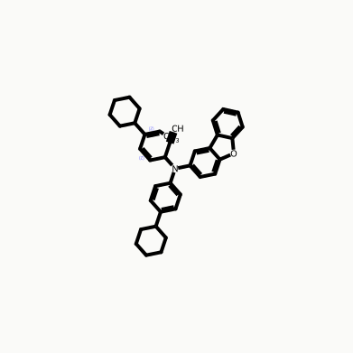 C#CC(/C=C\C(=C/C)C1CCCCC1)N(c1ccc(C2CCCCC2)cc1)c1ccc2oc3ccccc3c2c1